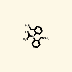 N=C(N)N(c1ccccc1CN)c1ccccc1CN